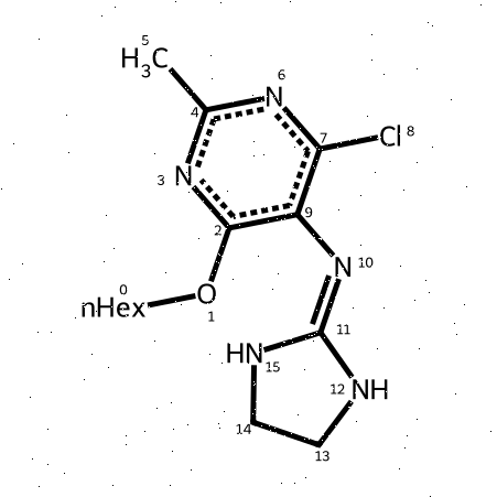 CCCCCCOc1nc(C)nc(Cl)c1N=C1NCCN1